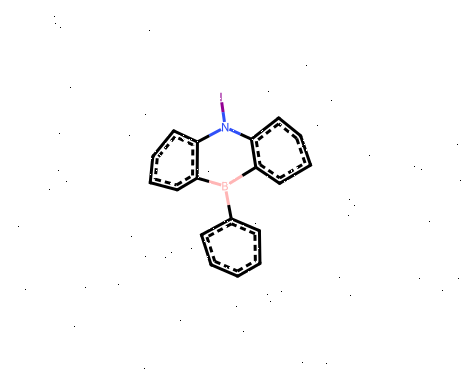 IN1c2ccccc2B(c2ccccc2)c2ccccc21